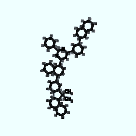 CC1(C)c2cc(-c3ccc(-c4cc(-c5cccc(-c6ccc7ccccc7c6)c5)nc(-c5ccccc5)n4)c4ccccc34)ccc2-c2ccc3ccccc3c21